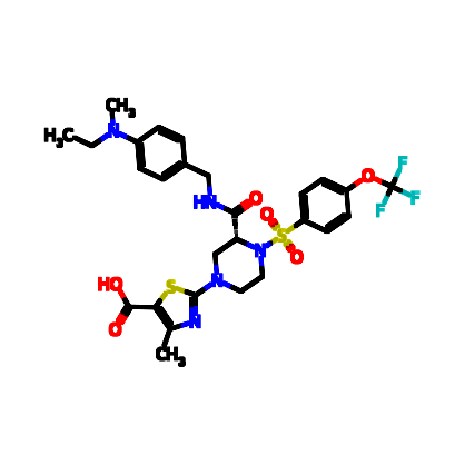 CCN(C)c1ccc(CNC(=O)[C@H]2CN(c3nc(C)c(C(=O)O)s3)CCN2S(=O)(=O)c2ccc(OC(F)(F)F)cc2)cc1